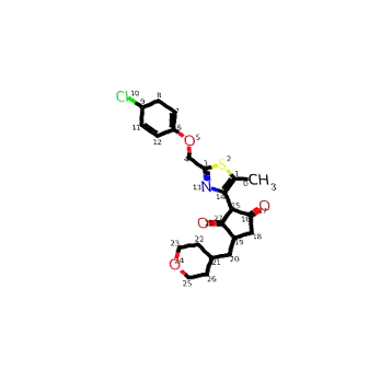 Cc1sc(COC2=CCC(Cl)C=C2)nc1C1C(=O)CC(CC2CCOCC2)C1=O